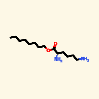 CCCCCCCCOC(=O)[C@@H](N)CCCCN